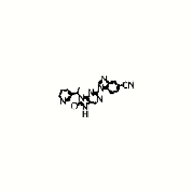 CC(c1cccnc1)n1c(=O)[nH]c2cnc(-n3cnc4cc(C#N)ccc43)nc21